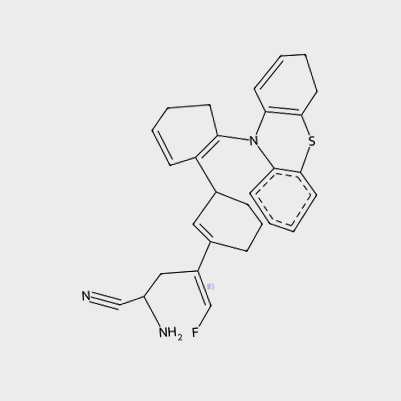 N#CC(N)C/C(=C\F)C1=CC(C2=C(N3C4=C(CCC=C4)Sc4ccccc43)CCC=C2)CCC1